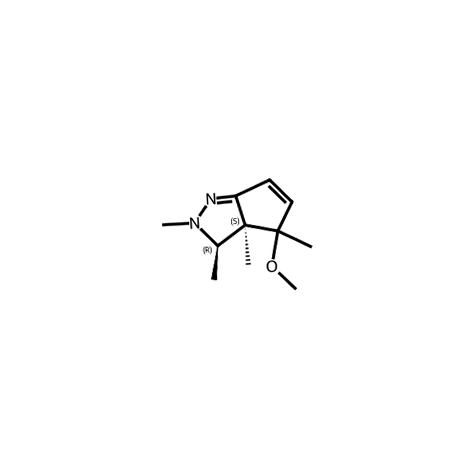 COC1(C)C=CC2=NN(C)[C@H](C)[C@@]21C